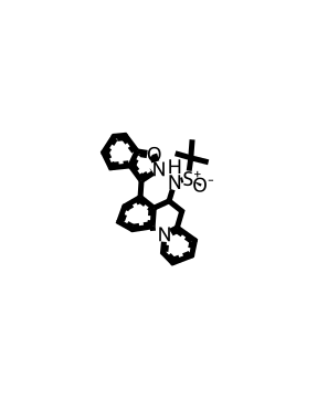 Cc1cccc(-c2noc3ccccc23)c1C(Cc1ccccn1)N[S@@+]([O-])C(C)(C)C